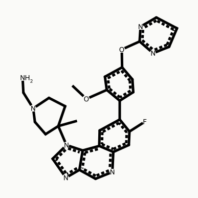 COc1cc(Oc2ncccn2)ccc1-c1cc2c(cc1F)ncc1ncn(C3(C)CCN(CN)CC3)c12